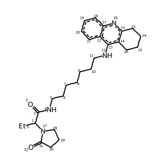 CCC(C(=O)NCCCCCCCNc1c2c(nc3ccccc13)CCCC2)N1CCCC1=O